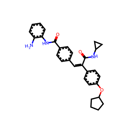 Nc1ccccc1NC(=O)c1ccc(/C=C(\C(=O)NC2CC2)c2ccc(OC3CCCC3)cc2)cc1